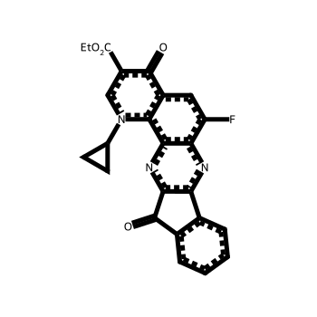 CCOC(=O)c1cn(C2CC2)c2c(cc(F)c3nc4c(nc32)C(=O)c2ccccc2-4)c1=O